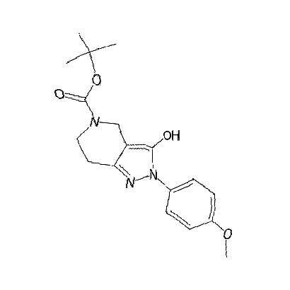 COc1ccc(-n2nc3c(c2O)CN(C(=O)OC(C)(C)C)CC3)cc1